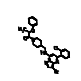 CC(Oc1ccccc1)C(=O)N1CCC(CNc2cc(-c3ccccc3Cl)nc3c(Br)cnn23)CC1